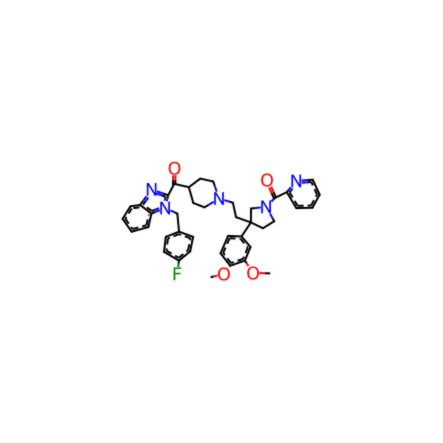 COc1ccc(C2(CCN3CCC(C(=O)c4nc5ccccc5n4Cc4ccc(F)cc4)CC3)CCN(C(=O)c3ccccn3)C2)cc1OC